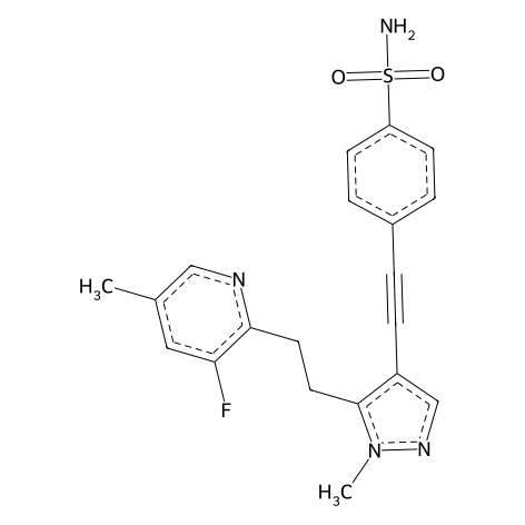 Cc1cnc(CCc2c(C#Cc3ccc(S(N)(=O)=O)cc3)cnn2C)c(F)c1